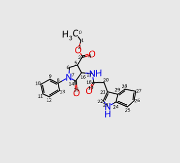 CCOC(=O)C1CN(c2ccccc2)C(=O)C1NC(=O)Cc1c[nH]c2ccccc12